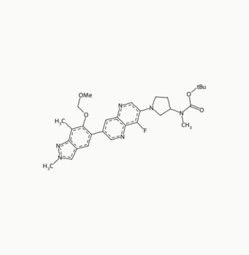 COCOc1c(-c2cnc3c(F)c(N4CCC(N(C)C(=O)OC(C)(C)C)C4)cnc3c2)cc2cn(C)nc2c1C